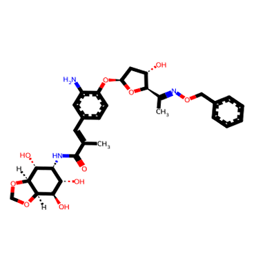 CC(=Cc1ccc(O[C@H]2C[C@H](O)[C@@H](C(C)=NOCc3ccccc3)O2)c(N)c1)C(=O)N[C@@H]1[C@H](O)[C@@H](O)[C@H]2OCO[C@H]2[C@@H]1O